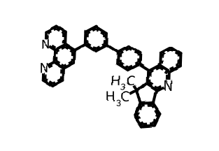 CC1(C)c2ccccc2-c2nc3ccccc3c(-c3ccc(-c4cccc(-c5cc6cccnc6c6ncccc56)c4)cc3)c21